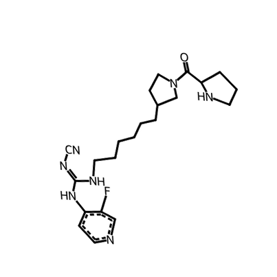 N#CN=C(NCCCCCCC1CCN(C(=O)C2CCCN2)C1)Nc1ccncc1F